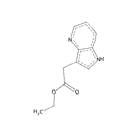 CCOC(=O)Cc1c[nH]c2cccnc12